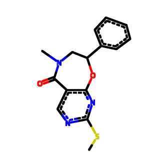 CSc1ncc2c(n1)OC(c1ccccc1)CN(C)C2=O